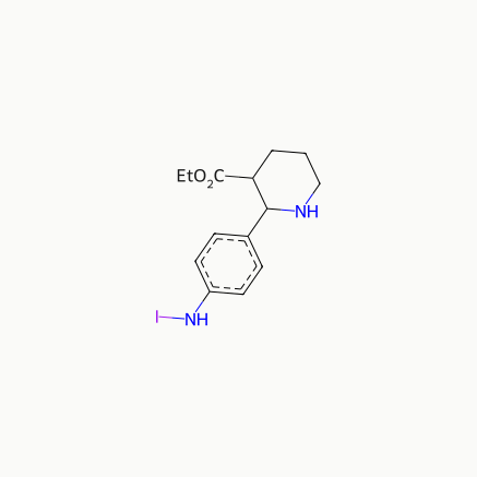 CCOC(=O)C1CCCNC1c1ccc(NI)cc1